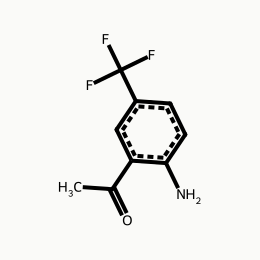 CC(=O)c1cc(C(F)(F)F)ccc1N